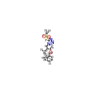 O=S(=O)(Cc1nnc2cc(OCC34CC5CC(CC(C5)C3)C4)c(C3CC3)cn12)C1CC1